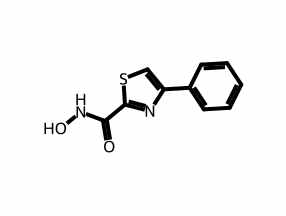 O=C(NO)c1nc(-c2ccccc2)cs1